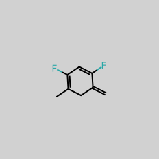 C=C1CC(C)=C(F)C=C1F